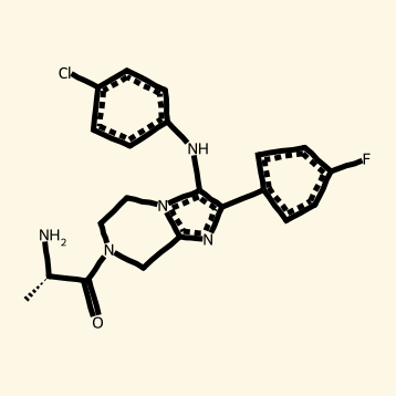 C[C@H](N)C(=O)N1CCn2c(nc(-c3ccc(F)cc3)c2Nc2ccc(Cl)cc2)C1